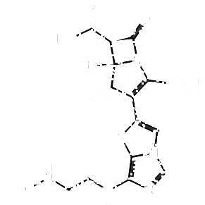 C[C@@H](O)[C@H]1C(=O)N2C(C(=O)O)=C(c3cn4cnc(SCCNC=O)c4s3)[C@H](C)[C@H]12